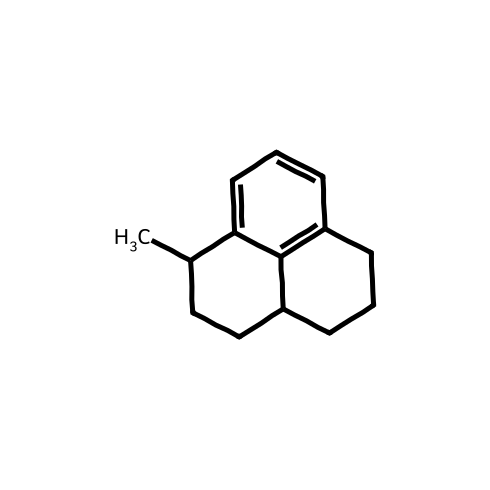 CC1CCC2CCCc3cccc1c32